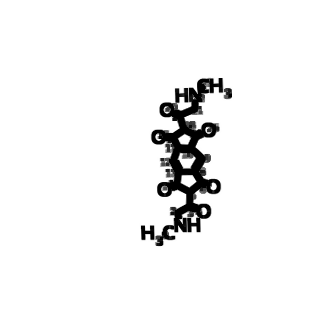 CNCC(=O)C1C(=O)c2cc3c(cc2C1=O)C(=O)C(C(=O)CNC)C3=O